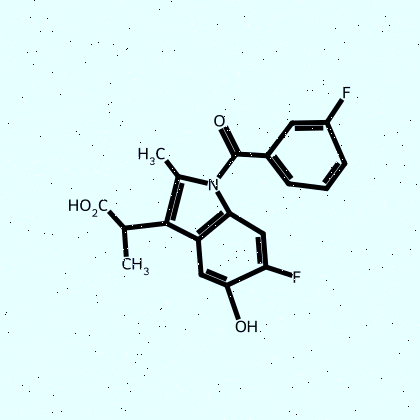 Cc1c(C(C)C(=O)O)c2cc(O)c(F)cc2n1C(=O)c1cccc(F)c1